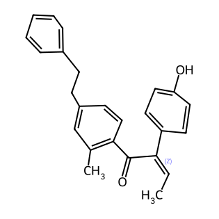 C/C=C(\C(=O)c1ccc(CCc2ccccc2)cc1C)c1ccc(O)cc1